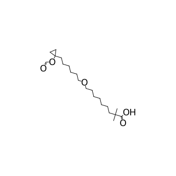 CC(C)(CCCCCCCOCCCCCCC1(OC=O)CC1)C(=O)O